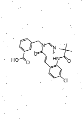 C/N=C\N(Cc1cccc(C(=O)O)c1)C(=O)/C=C/c1ccc(Cl)cc1NC(=O)C(C)(C)C